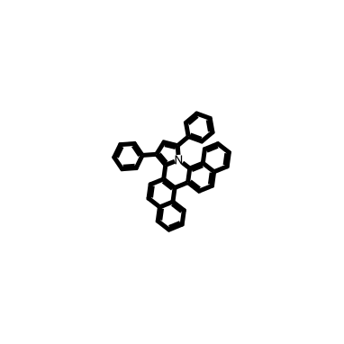 c1ccc(-c2cc(-c3ccccc3)n3c2c2ccc4ccccc4c2c2ccc4ccccc4c23)cc1